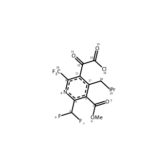 COC(=O)c1c(C(F)F)nc(C(F)(F)F)c(C(=O)C(=O)Cl)c1CC(C)C